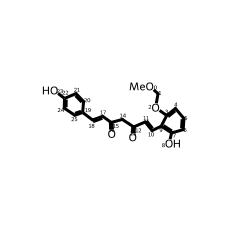 COCOc1cccc(O)c1C=CC(=O)CC(=O)C=Cc1ccc(O)cc1